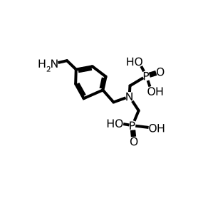 NCc1ccc(CN(CP(=O)(O)O)CP(=O)(O)O)cc1